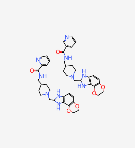 O=C(NCC1CCN(CC2Nc3ccc4c(c3N2)OCCO4)CC1)c1ccccn1.O=C(NCC1CCN(CC2Nc3ccc4c(c3N2)OCCO4)CC1)c1cccnc1